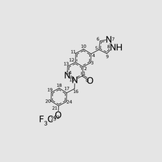 O=c1c2cc(-c3cn[nH]c3)ccc2cnn1Cc1cccc(OC(F)(F)F)c1